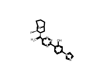 C=C(c1cnc(-c2ccc(-n3ccnc3)cc2O)nn1)[C@@H]1CC2CCCC(N2)[C@@H]1F